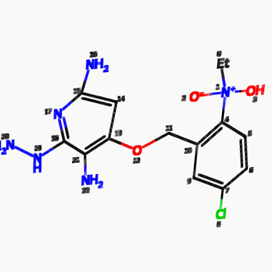 CC[N+]([O-])(O)c1ccc(Cl)cc1COc1cc(N)nc(NN)c1N